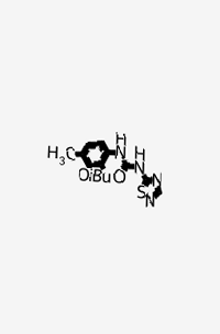 Cc1ccc(NC(=O)Nc2ncns2)c(OCC(C)C)c1